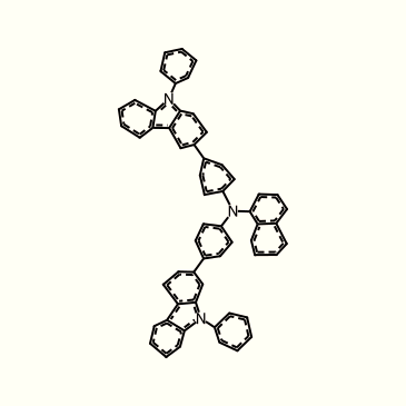 c1ccc(-n2c3ccccc3c3cc(-c4ccc(N(c5ccc(-c6ccc7c8ccccc8n(-c8ccccc8)c7c6)cc5)c5cccc6ccccc56)cc4)ccc32)cc1